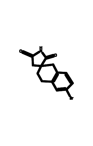 O=C1CC2(CCc3cc(Br)ccc3C2)C(=O)N1